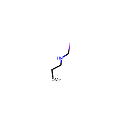 COCCNCI